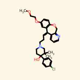 COCCOc1ccc2c(c1)/C(=C/CCN1CCC(O)(c3ccc(Cl)cc3)C(C)(C)C1)c1cccnc1CO2